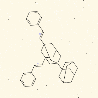 C(=C\C12CC3CC(/C=C/c4ccccc4)(C1)CC(C14CC5CC(CC(C5)C1)C4)(C3)C2)/c1ccccc1